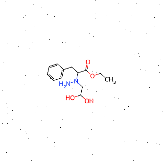 CCOC(=O)C(Cc1ccccc1)N(N)CC(O)O